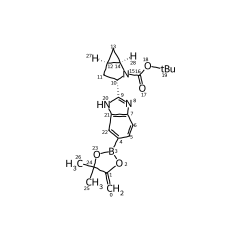 C=C1OB(c2ccc3nc([C@@H]4C[C@H]5C[C@H]5N4C(=O)OC(C)(C)C)[nH]c3c2)OC1(C)C